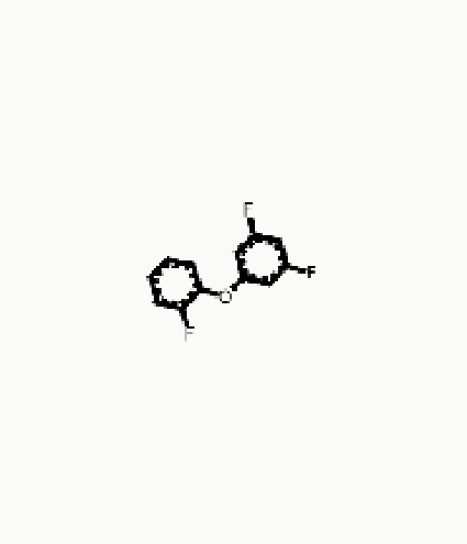 Fc1cc(F)cc(Oc2ccc[c]c2F)c1